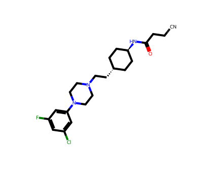 N#CCCC(=O)N[C@H]1CC[C@H](CCN2CCN(c3cc(F)cc(Cl)c3)CC2)CC1